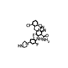 NC(=O)c1c(Nc2c(F)cc(N3CCNCC3)cc2F)cc(Cc2c(Cl)cccc2Cl)n2cnnc12